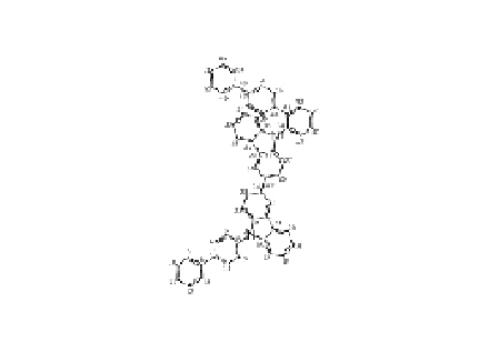 C1=c2c(n(-c3ccc(-c4ccccc4)cc3)c3ccccc23)=CCC1c1ccc2c(c1)c1ccccc1n2-c1ccccc1-c1ccc(-c2ccccc2)cc1